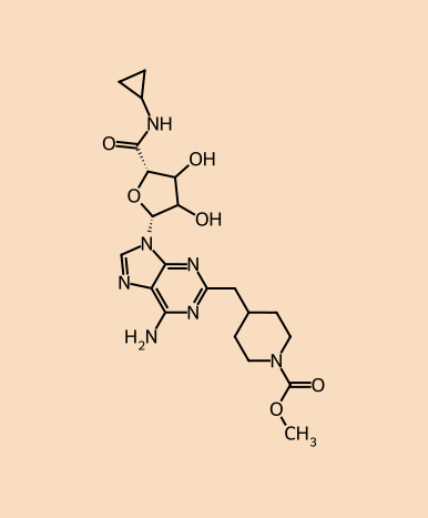 COC(=O)N1CCC(Cc2nc(N)c3ncn([C@@H]4O[C@H](C(=O)NC5CC5)C(O)C4O)c3n2)CC1